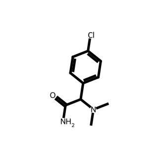 CN(C)C(C(N)=O)c1ccc(Cl)cc1